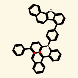 c1ccc(-c2ccc(N(c3ccc(-c4cccc5oc6c7ccccc7ccc6c45)cc3)c3ccccc3-c3cccc4ccccc34)cc2)cc1